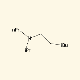 CCCN(CCC(C)CC)C(C)C